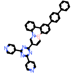 C1=CC(c2nc(-c3ccncc3)nc(-c3ccncc3)n2)=CN2B1c1ccc(-c3ccc(-c4ccccc4)cc3)cc1-c1ccccc12